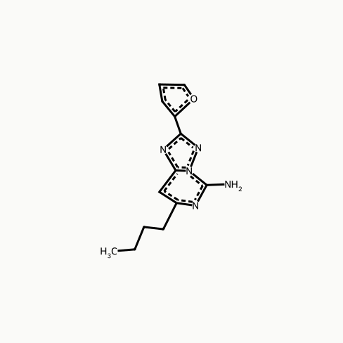 CCCCc1cc2nc(-c3ccco3)nn2c(N)n1